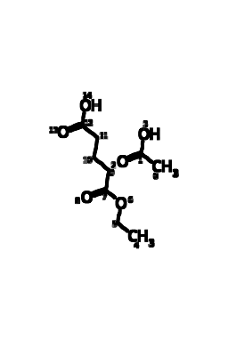 CC(=O)O.CCOC(=O)CCCC(=O)O